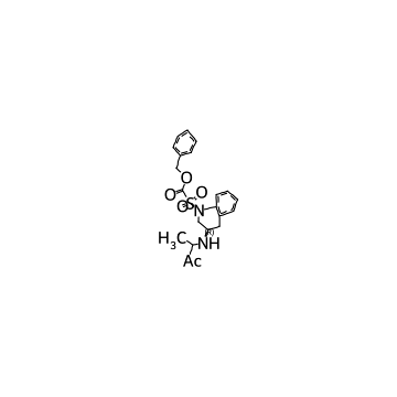 CC(=O)C(C)N[C@@H]1Cc2ccccc2N(S(=O)(=O)C(=O)OCc2ccccc2)C1